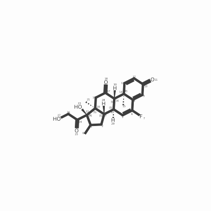 CC1C[C@H]2[C@@H]3C=C(F)C4=CC(=O)C=C[C@]4(C)[C@H]3C(=O)C[C@]2(C)[C@@]1(O)C(=O)CO